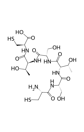 C[C@@H](O)[C@H](NC(=O)[C@H](CO)NC(=O)[C@@H](NC(=O)[C@H](CO)NC(=O)[C@@H](N)CS)[C@@H](C)O)C(=O)N[C@@H](CS)C(=O)O